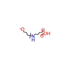 COCCCC(C)(C)NCCCS(=O)(=O)O